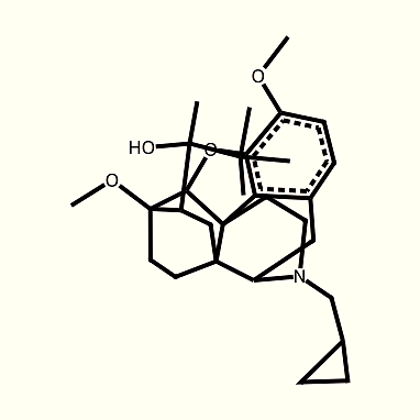 COc1ccc2c3c1OC1C4(OC)CCC5(CC4C(C)(O)C(C)(C)C)C(C2)N(CC2CC2)CCC315